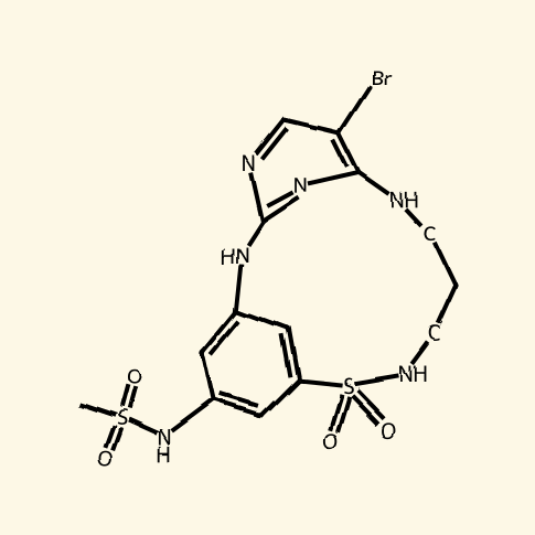 CS(=O)(=O)Nc1cc2cc(c1)S(=O)(=O)NCCCNc1nc(ncc1Br)N2